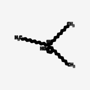 CCCCCCCCCCCCC(S)(CCCCCCCCCCCC)c1cc(CCCCCCCCC)ccc1O